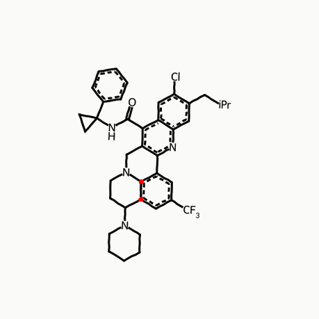 CC(C)Cc1cc2nc(-c3cccc(C(F)(F)F)c3)c(CN3CCC(N4CCCCC4)CC3)c(C(=O)NC3(c4ccccc4)CC3)c2cc1Cl